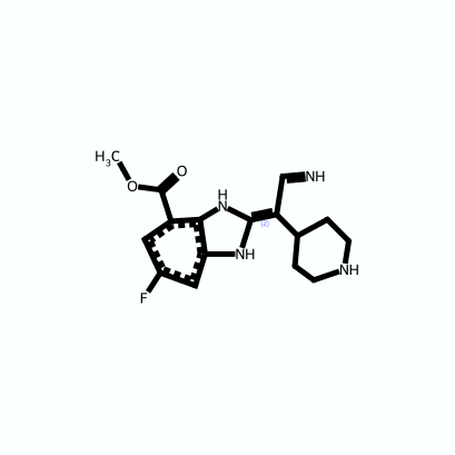 COC(=O)c1cc(F)cc2c1N/C(=C(\C=N)C1CCNCC1)N2